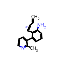 C=C/C=C\c1c(N)cccc1-c1cccnc1C